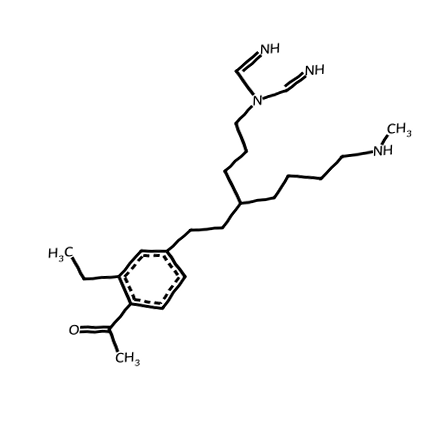 CCc1cc(CCC(CCCCNC)CCCN(C=N)C=N)ccc1C(C)=O